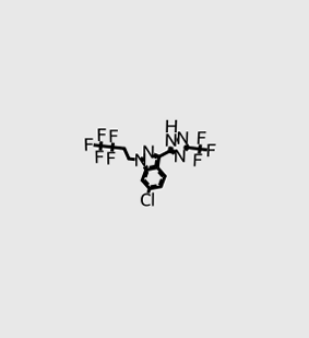 FC(F)(F)c1n[nH]c(-c2nn(CCC(F)(F)C(F)(F)F)c3cc(Cl)ccc23)n1